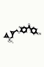 CN(CC1CC1COc1ccc(C(=O)c2ccc(C#N)cc2)cc1F)C1CC1